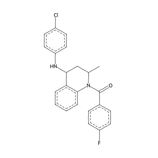 CC1CC(Nc2ccc(Cl)cc2)c2ccccc2N1C(=O)c1ccc(F)cc1